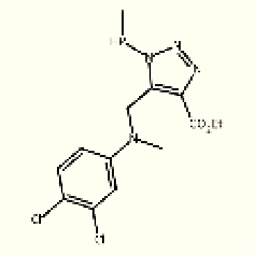 CCOC(=O)c1nnn(PC)c1CN(C)c1ccc(Cl)c(Cl)c1